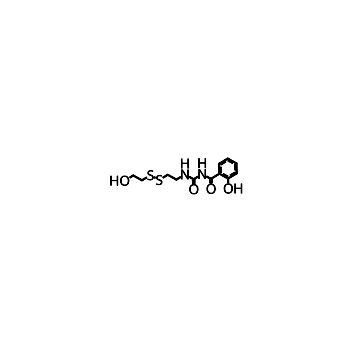 O=C(NCCSSCCO)NC(=O)c1ccccc1O